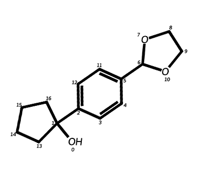 OC1(c2ccc(C3OCCO3)cc2)CCCC1